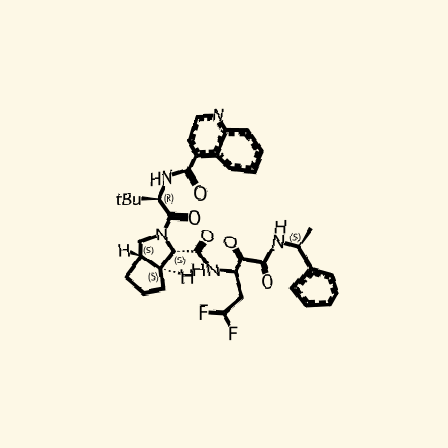 C[C@H](NC(=O)C(=O)C(CC(F)F)NC(=O)[C@@H]1[C@H]2CCC[C@@H]2CN1C(=O)[C@H](NC(=O)c1ccnc2ccccc12)C(C)(C)C)c1ccccc1